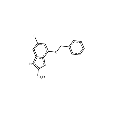 CCOC(=O)c1cc2c(OCc3ccccc3)cc(F)cc2[nH]1